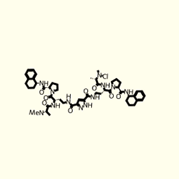 CN[C@@H](C)C(=O)N[C@@H](CCNC(=O)c1cc(C(=O)NCC[C@H](NC(=O)[C@H](C)N(C)Cl)C(=O)N2CCC[C@H]2C(=O)N[C@@H]2CCCc3ccccc32)[nH]n1)C(=O)N1CCC[C@H]1C(=O)N[C@@H]1CCCc2ccccc21